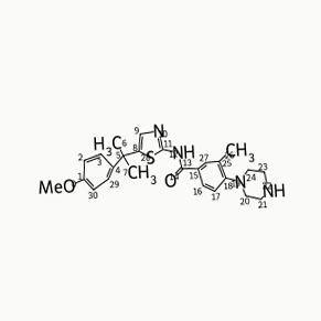 COc1ccc(C(C)(C)c2cnc(NC(=O)c3ccc(N4CCNCC4)c(C)c3)s2)cc1